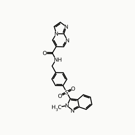 Cn1nc2ccccc2c1S(=O)(=O)c1ccc(CNC(=O)c2cnc3nccn3c2)cc1